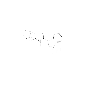 CN1C2CCC1CC(NC(=O)N1CC(C)(C)c3ccccc31)C2